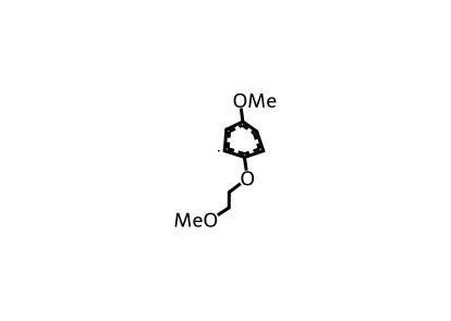 COCCOc1[c]cc(OC)cc1